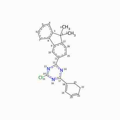 CC1(C)c2ccccc2-c2cc(-c3nc(Cl)nc(C4=CC=CCC4)n3)ccc21